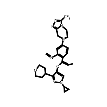 C=Nc1cc(N2CCn3c(nnc3C(F)(F)F)C2)ccc1/C(=C\C)Oc1cn(C2CC2)nc1C1CCOCC1